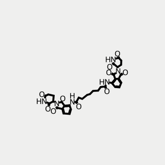 O=C1CCC(N2C(=O)c3cccc(NC(=O)CCCCCCCC(=O)Nc4cccc5c4C(=O)N(C4CCC(=O)NC4=O)C5=O)c3C2=O)C(=O)N1